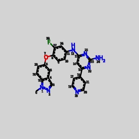 Cn1ncc2cc(Oc3ccc(Nc4cc(-c5ccncc5)nc(N)n4)cc3F)ccc21